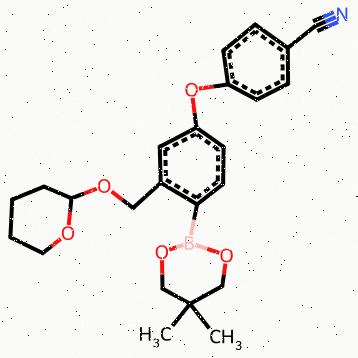 CC1(C)COB(c2ccc(Oc3ccc(C#N)cc3)cc2COC2CCCCO2)OC1